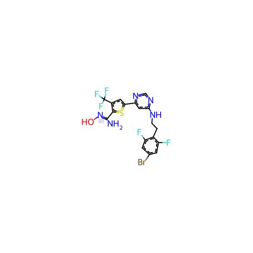 N/C(=N\O)c1sc(-c2cc(NCCc3c(F)cc(Br)cc3F)ncn2)cc1C(F)(F)F